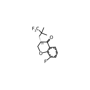 CC(C)(C[C@H]1COc2c(F)cccc2C1=O)C(F)(F)F